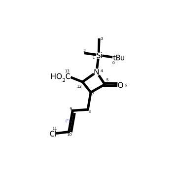 CC(C)(C)[Si](C)(C)N1C(=O)C(C/C=C/Cl)C1C(=O)O